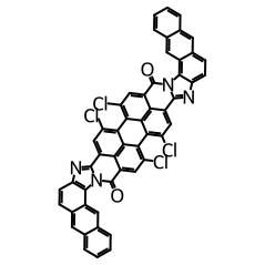 O=c1c2cc(Cl)c3c4c(Cl)cc5c6c(cc(Cl)c(c7c(Cl)cc(c2c37)c2nc3ccc7cc8ccccc8cc7c3n12)c46)c(=O)n1c5nc2ccc3cc4ccccc4cc3c21